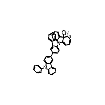 CC1(c2ccccc2)CC=CC=C1n1c2ccccc2c2cc(-c3ccc4c(c3)c3ccccc3n4-c3ccccc3)ccc21